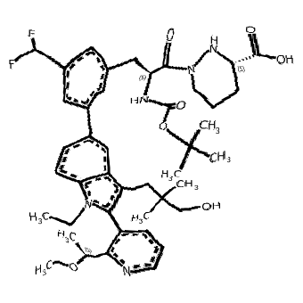 CCn1c(-c2cccnc2[C@H](C)OC)c(CC(C)(C)CO)c2cc(-c3cc(C[C@H](NC(=O)OC(C)(C)C)C(=O)N4CCC[C@@H](C(=O)O)N4)cc(C(F)F)c3)ccc21